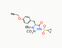 C#CCOc1ccc(C[C@@H](C(=O)NS(=O)(=O)C2CC2)N(C(=O)O)C(C)(C)C)cc1